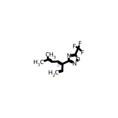 C=C/C(=C\C=C(C)C)c1noc(C(F)(F)F)n1